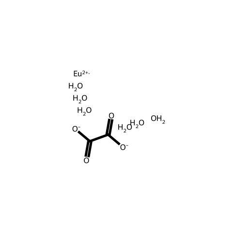 O.O.O.O.O.O.O=C([O-])C(=O)[O-].[Eu+2]